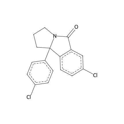 O=C1c2cc(Cl)ccc2C2(c3ccc(Cl)cc3)CCCN12